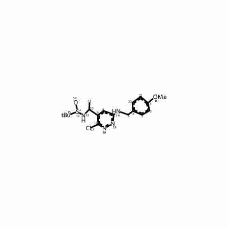 COc1ccc(CNc2cc(C(C)N[S+]([O-])C(C)(C)C)c(Cl)nn2)cc1